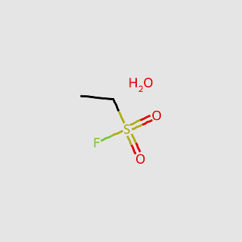 CCS(=O)(=O)F.O